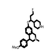 COc1ccc(C2CN(C)Cc3cc(OC(CCF)C4CCNCC4)ccc32)cc1